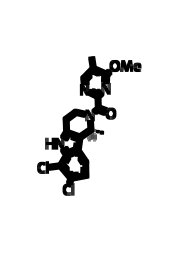 COc1nc(C(=O)N2CCc3[nH]c4c(Cl)c(Cl)ccc4c3[C@H]2C)ncc1C